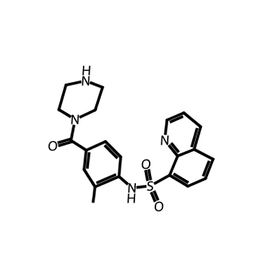 Cc1cc(C(=O)N2CCNCC2)ccc1NS(=O)(=O)c1cccc2cccnc12